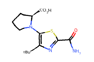 CC(C)(C)c1nc(C(N)=O)sc1N1CCC[C@H]1C(=O)O